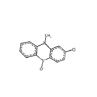 CN1c2ccccc2[S+]([O-])c2ccc(Cl)cc21